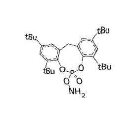 CC(C)(C)c1cc2c(c(C(C)(C)C)c1)OP(=O)(ON)Oc1c(cc(C(C)(C)C)cc1C(C)(C)C)C2